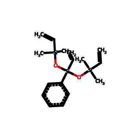 C=C[Si](C)(C)O[Si](C=C)(O[Si](C)(C)C=C)c1ccccc1